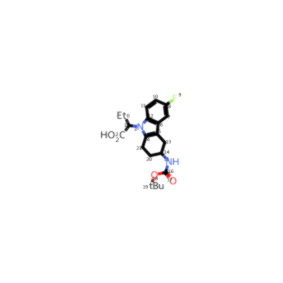 CCC(C(=O)O)n1c2c(c3cc(F)ccc31)CC(NC(=O)OC(C)(C)C)CC2